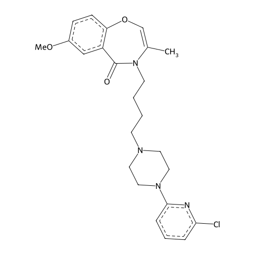 COc1ccc2c(c1)C(=O)N(CCCCN1CCN(c3cccc(Cl)n3)CC1)C(C)=CO2